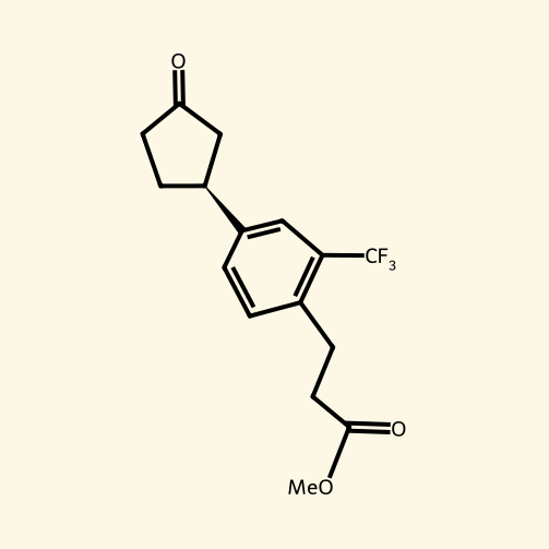 COC(=O)CCc1ccc([C@H]2CCC(=O)C2)cc1C(F)(F)F